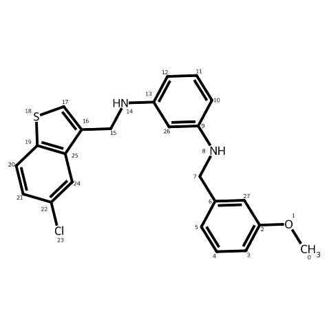 COc1cccc(CNc2cccc(NCc3csc4ccc(Cl)cc34)c2)c1